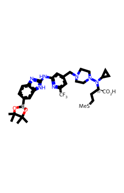 CSCC[C@@H](C(=O)O)N(C1CC1)N1CCN(Cc2cc(Nc3nc4ccc(B5OC(C)(C)C(C)(C)O5)cc4[nH]3)nc(C(F)(F)F)c2)CC1